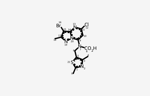 Cc1nc(C)c(CN(C(=O)O)c2cc(Cl)nc3c(Br)c(C)nn23)s1